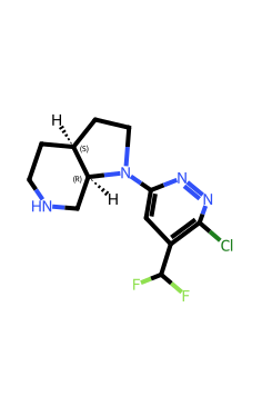 FC(F)c1cc(N2CC[C@@H]3CCNC[C@@H]32)nnc1Cl